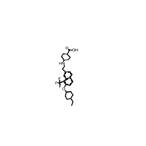 CCC1CCC(Oc2ccc3ccc(CCNC4CCC(C(=O)O)CC4)cc3c2C(F)(F)F)CC1